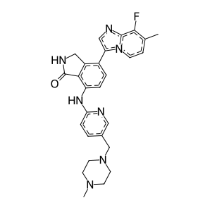 Cc1ccn2c(-c3ccc(Nc4ccc(CN5CCN(C)CC5)cn4)c4c3CNC4=O)cnc2c1F